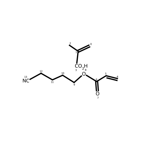 C=C(C)C(=O)O.C=CC(=O)OCCCCC#N